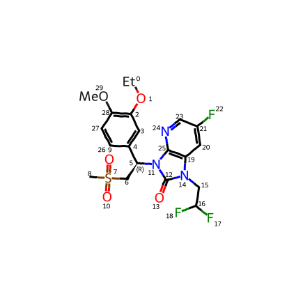 CCOc1cc([C@H](CS(C)(=O)=O)n2c(=O)n(CC(F)F)c3cc(F)cnc32)ccc1OC